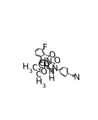 CC(C)(C)OC(=O)NN(C(=O)NC(=O)c1c(F)cccc1Cl)c1ccc(C#N)cc1